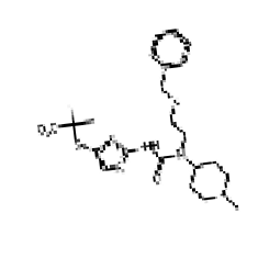 CC1CCC(N(CCSCc2ccccc2)C(=O)Nc2ncc(SC(C)(C)C(=O)O)s2)CC1